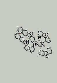 c1ccc2cc3c(cc2c1)oc1cc(C2NC(c4cccc5sc6ccccc6c45)=NC(c4cccc5oc6ccccc6c45)N2)cc(-n2c4cc5ccccc5cc4c4ccc5ccccc5c42)c13